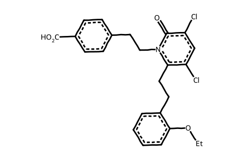 CCOc1ccccc1CCc1c(Cl)cc(Cl)c(=O)n1CCc1ccc(C(=O)O)cc1